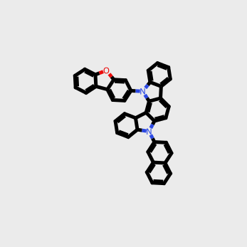 C1=CC2c3c(ccc4c5ccccc5n(-c5ccc6c(c5)oc5ccccc56)c34)N(c3ccc4ccccc4c3)C2C=C1